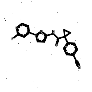 N#Cc1ccc(C2(C(=O)Nc3ccn(-c4ccnc(F)c4)n3)CC2)cc1